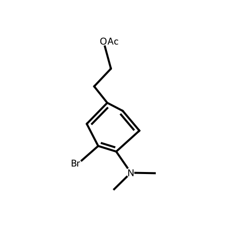 CC(=O)OCCc1ccc(N(C)C)c(Br)c1